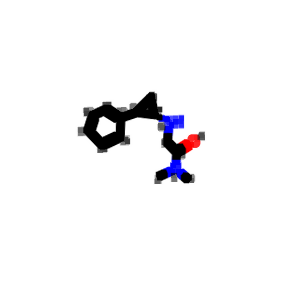 CN(C)C(=O)CN[C@H]1CC1c1ccccc1